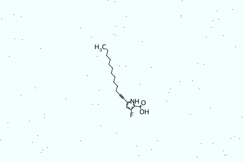 CCCCCCCCCCCC#Cc1cc(F)c(C(=O)O)[nH]1